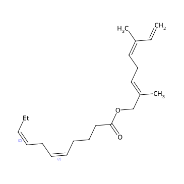 C=CC(C)=CCC=C(C)COC(=O)CCC/C=C\C/C=C\CC